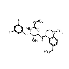 CN1CCC(NC[C@@H](O)[C@H](Cc2cc(F)cc(F)c2)NC(=O)OC(C)(C)C)c2cc(CC(C)(C)C)ccc21